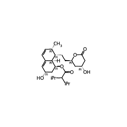 CC(C)C(C(=O)O[C@H]1C[C@H](O)C=C2C=C[C@H](C)[C@H](CC[C@@H]3C[C@@H](O)CC(=O)O3)[C@H]21)C(C)C